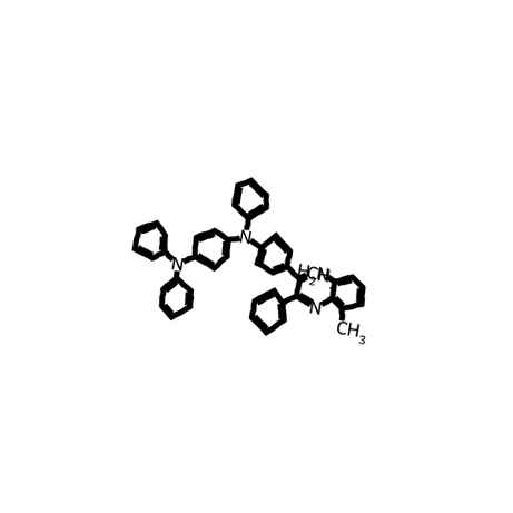 C=C(/C(=N\c1c(C)cccc1N)c1ccccc1)c1ccc(N(c2ccccc2)c2ccc(N(c3ccccc3)c3ccccc3)cc2)cc1